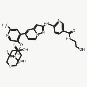 Cc1cc(-c2ccn3nc(Nc4ccc(C(=O)NCCO)cn4)cc3c2)c(O[C@H]2C[C@H]3COC[C@@H](C2)N3C(=O)O)cn1